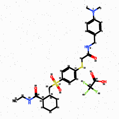 CN(C)c1ccc(CNC(=O)CSc2ccc(S(=O)(=O)C[C@@H]3CCCC[C@H]3C(=O)NCC#N)cc2)cc1.O=C(O)C(F)(F)F